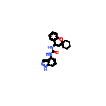 O=C(Nc1cccc2[nH]ncc12)NC1CC2(CCCCC2)Oc2ccccc21